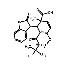 COC1=C(C(=O)NC(C)(C)C)C(C2C(=O)Nc3ccccc32)C(C)(C(=O)O)C=C1